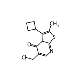 CC1=C(C2CCC2)C2C(=O)C(CCl)=CN=C2S1